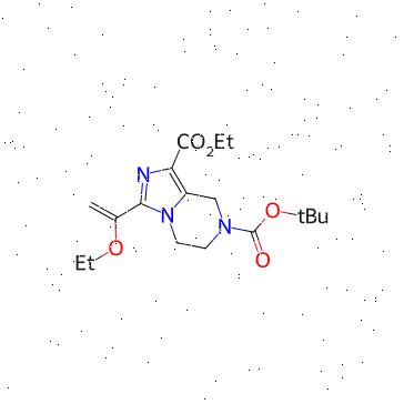 C=C(OCC)c1nc(C(=O)OCC)c2n1CCN(C(=O)OC(C)(C)C)C2